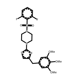 COc1cc(Cc2csc(N3CCN(S(=O)(=O)c4c(F)cccc4F)CC3)n2)cc(OC)c1OC